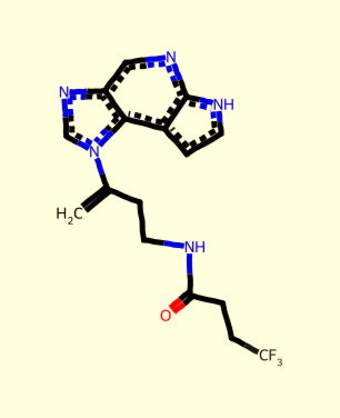 C=C(CCNC(=O)CCC(F)(F)F)n1cnc2cnc3[nH]ccc3c21